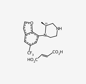 C[C@H]1CNCCN1c1cc(C(F)(F)F)cc2ccoc12.O=C(O)C=CC(=O)O